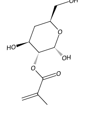 C=C(C)C(=O)O[C@@H]1[C@@H](O)C[C@@H](CO)O[C@@H]1O